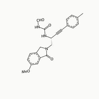 COc1ccc2c(c1)C(=O)N(C[C@@H](C#Cc1ccc(C)cc1)NC(=O)NC=O)C2